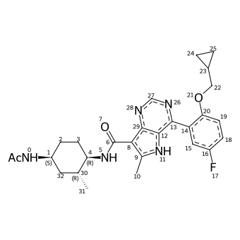 CC(=O)N[C@H]1CC[C@@H](NC(=O)c2c(C)[nH]c3c(-c4cc(F)ccc4OCC4CC4)ncnc23)[C@H](C)C1